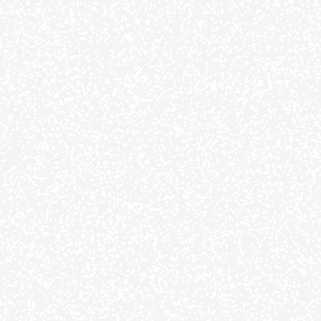 C[C](C)CCCC1CCCCCCC1